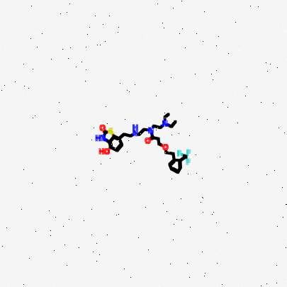 CCN(CC)CCN(CCNCCc1ccc(O)c2[nH]c(=O)sc12)C(=O)CCOCCc1ccccc1C(F)(F)F